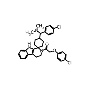 CN(C)C(c1ccc(Cl)cc1)C1CCC2(CC1)c1[nH]c3ccccc3c1CCN2C(=O)COc1ccc(Cl)cc1